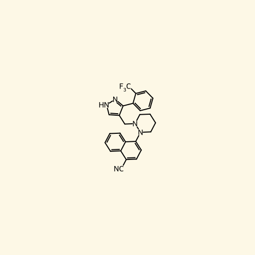 N#Cc1ccc(N2CCCCN2Cc2c[nH]nc2-c2ccccc2C(F)(F)F)c2ccccc12